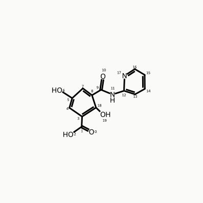 O=C(O)c1cc(O)cc(C(=O)Nc2ccccn2)c1O